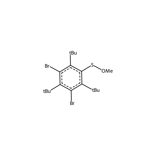 COSc1c(C(C)(C)C)c(Br)c(C(C)(C)C)c(Br)c1C(C)(C)C